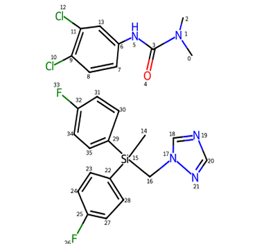 CN(C)C(=O)Nc1ccc(Cl)c(Cl)c1.C[Si](Cn1cncn1)(c1ccc(F)cc1)c1ccc(F)cc1